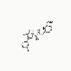 CSc1nccc(CNC(=O)C2(C)CC(=O)N(c3cc(F)cc(F)c3)C2)n1